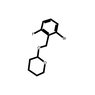 Fc1cccc(Br)c1COC1CCCCO1